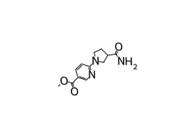 COC(=O)c1ccc(N2CCC(C(N)=O)C2)nc1